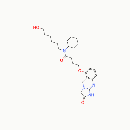 O=C1CN2Cc3c(cccc3OCCCC(=O)N(CCCCCCO)C3CCCCC3)N=C2N1